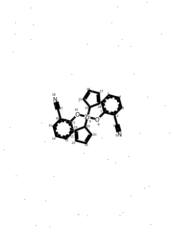 N#Cc1ccccc1[O][Zr]([O]c1ccccc1C#N)([CH]1C=CC=C1)[CH]1C=CC=C1